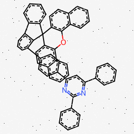 c1ccc(-c2cc(-c3ccc(-c4cccc5c4C4(c6ccccc6-5)c5ccc6ccccc6c5Oc5c4ccc4ccccc54)cc3)nc(-c3ccccc3)n2)cc1